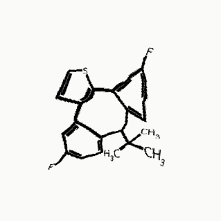 CC(C)(C)C1c2ccc(F)cc2-c2ccsc2-c2cc(F)ccc21